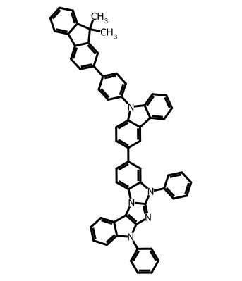 CC1(C)c2ccccc2-c2ccc(-c3ccc(-n4c5ccccc5c5cc(-c6ccc7c(c6)n(-c6ccccc6)c6nc8c(c9ccccc9n8-c8ccccc8)n76)ccc54)cc3)cc21